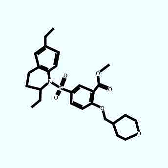 CCc1ccc2c(c1)CCC(CC)N2S(=O)(=O)c1ccc(OCC2CCOCC2)c(C(=O)OC)c1